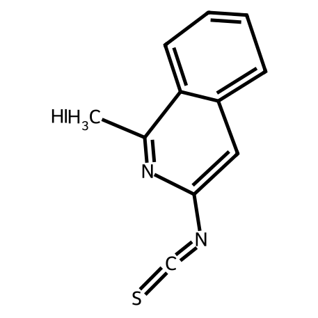 Cc1nc(N=C=S)cc2ccccc12.I